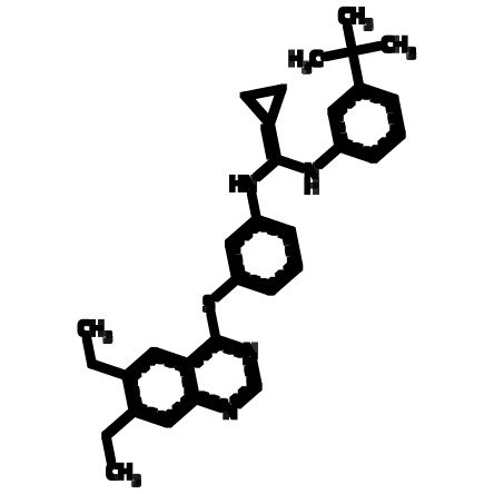 CCc1cc2ncnc(Sc3cccc(NC(Nc4cccc(C(C)(C)C)c4)=C4CC4)c3)c2cc1CC